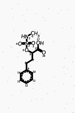 CNS(=O)(=O)OC(CCc1ccccc1)C(=O)O